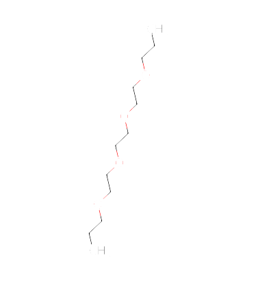 CCCOCCOCCOCCOCCC